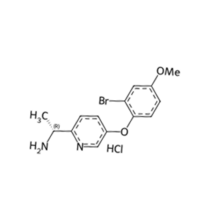 COc1ccc(Oc2ccc([C@@H](C)N)nc2)c(Br)c1.Cl